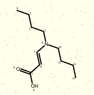 CCCCN(C=CC(=O)O)CCCC